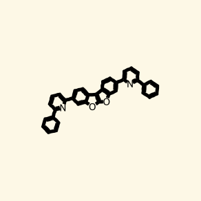 c1ccc(-c2cccc(-c3ccc4c(c3)oc3oc5cc(-c6cccc(-c7ccccc7)n6)ccc5c34)n2)cc1